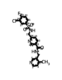 Cc1ccncc1CNC(=O)c1ccc(CNS(=O)(=O)c2ccc(F)c(Cl)c2)nn1